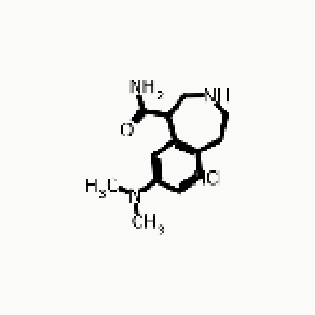 CN(C)c1[c]cc2c(c1)C(C(N)=O)CNCC2.Cl